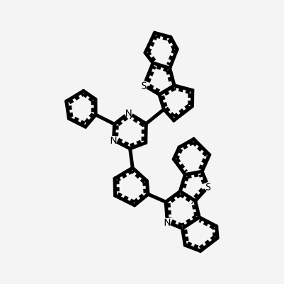 c1ccc(-c2nc(-c3cccc(-c4nc5ccccc5c5sc6ccccc6c45)c3)cc(-c3cccc4c3sc3ccccc34)n2)cc1